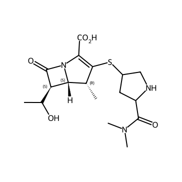 CC(O)[C@H]1C(=O)N2C(C(=O)O)=C(SC3CNC(C(=O)N(C)C)C3)[C@H](C)[C@H]12